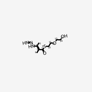 C/C(NN=N)=C(/C)C(=O)SCCOCCO